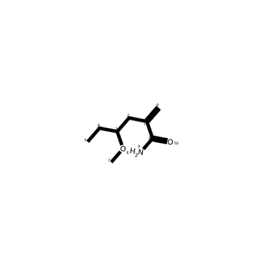 C=C(CC(CC)OC)C(N)=O